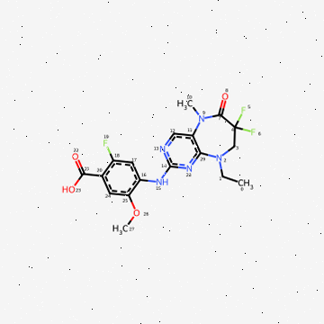 CCN1CC(F)(F)C(=O)N(C)c2cnc(Nc3cc(F)c(C(=O)O)cc3OC)nc21